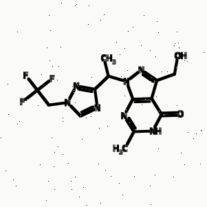 Cc1nc2c(c(CO)nn2C(C)c2ncn(CC(F)(F)F)n2)c(=O)[nH]1